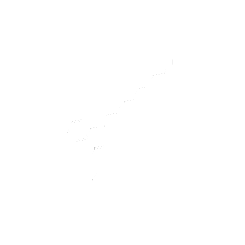 CCOC(=O)c1ccccc1OCCOCCOCCO